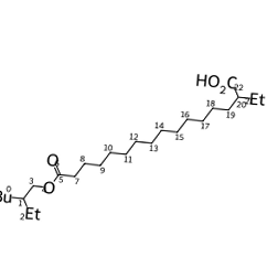 CCCCC(CC)COC(=O)CCCCCCCCCCCCCC(CC)C(=O)O